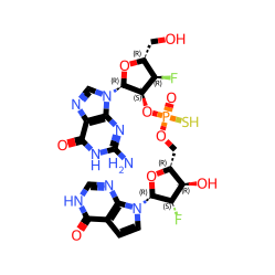 Nc1nc2c(ncn2[C@@H]2O[C@H](CO)[C@@H](F)[C@H]2OP(=O)(S)OC[C@H]2O[C@@H](n3ccc4c(=O)[nH]cnc43)[C@@H](F)[C@@H]2O)c(=O)[nH]1